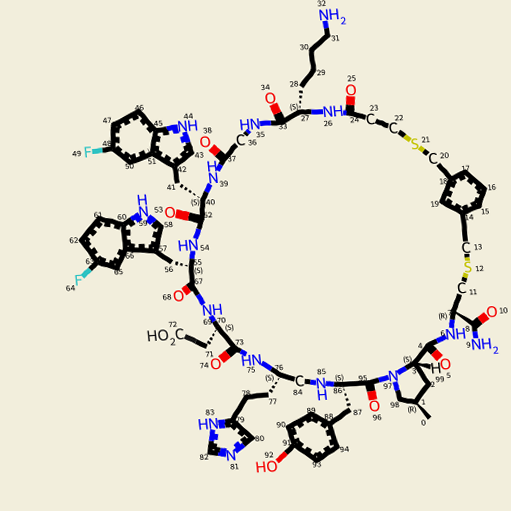 C[C@@H]1C[C@H]2C(=O)N[C@H](C(N)=O)CSCc3cccc(c3)CSCCC(=O)N[C@@H](CCCCN)C(=O)NCC(=O)N[C@@H](Cc3c[nH]c4ccc(F)cc34)C(=O)N[C@@H](Cc3c[nH]c4ccc(F)cc34)C(=O)N[C@@H](CC(=O)O)C(=O)N[C@@H](CCc3cnc[nH]3)CN[C@@H](Cc3ccc(O)cc3)C(=O)N2C1